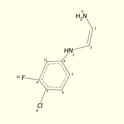 N/C=C\Nc1ccc(Cl)c(F)c1